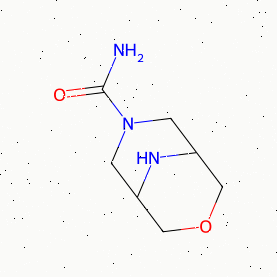 NC(=O)N1CC2COCC(C1)N2